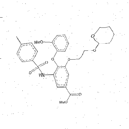 COC(=O)c1cc(NS(=O)(=O)c2ccc(C)cc2)c(Oc2ccccc2OC)c(OCCOC2CCCCO2)c1